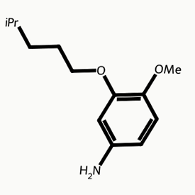 COc1ccc(N)cc1OCCCC(C)C